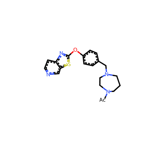 CC(=O)N1CCCN(Cc2ccc(Oc3nc4ccncc4s3)cc2)CC1